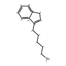 CC(=O)CCCCCC1=CCc2ccccc21